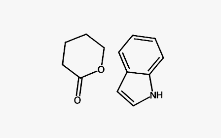 O=C1CCCCO1.c1ccc2[nH]ccc2c1